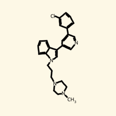 CN1CCN(CCCn2cc(-c3cncc(-c4cccc(Cl)c4)c3)c3ccccc32)CC1